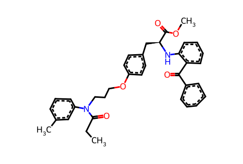 CCC(=O)N(CCCOc1ccc(C[C@H](Nc2ccccc2C(=O)c2ccccc2)C(=O)OC)cc1)c1cccc(C)c1